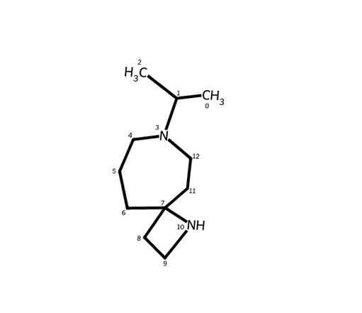 CC(C)N1CCCC2(CCN2)CC1